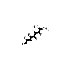 CC(C)C(F)C(F)C(F)C(F)C(F)C(F)CF